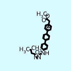 COC(=O)CC12CCC(c3ccc(-c4ccc(Nc5nnc(CC(C)C)o5)cc4)cc3)(CC1)CO2